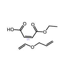 C=CCOC=C.CCOC(=O)/C=C\C(=O)O